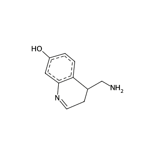 NCC1CC=Nc2cc(O)ccc21